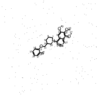 COc1cc2c(N3CCCC(COc4ccccc4F)C3)nncc2c(OC)c1OC